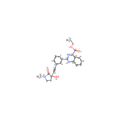 CCOC(=O)c1nc(-c2cccc(C#C[C@]3(O)CCN(C)C3=O)c2)nc2ccccc12